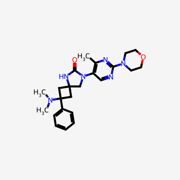 Cc1nc(N2CCOCC2)ncc1N1CC2(CC(c3ccccc3)(N(C)C)C2)NC1=O